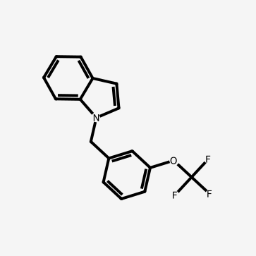 FC(F)(F)Oc1cccc(Cn2ccc3ccccc32)c1